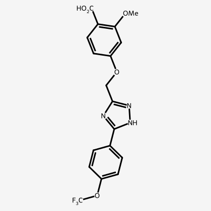 COc1cc(OCc2n[nH]c(-c3ccc(OC(F)(F)F)cc3)n2)ccc1C(=O)O